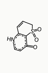 O=c1cc[nH]c2c1S(=O)(=O)CC=C2